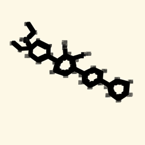 CCOC1(CC)C=CC(c2ccc(-c3ccc(-c4ccccc4)cc3)c(F)c2F)=CC1